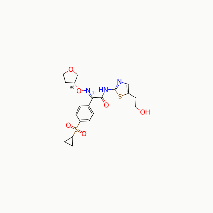 O=C(Nc1ncc(CCO)s1)/C(=N/O[C@@H]1CCOC1)c1ccc(S(=O)(=O)C2CC2)cc1